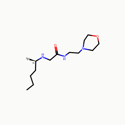 [2H][C@H](CCCC)NCC(=O)NCCN1CCOCC1